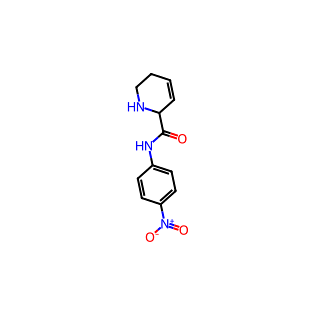 O=C(Nc1ccc([N+](=O)[O-])cc1)C1C=CCCN1